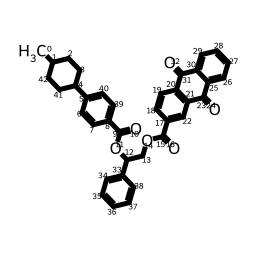 CC1CCC(c2ccc(C(=O)OC(COC(=O)c3ccc4c(c3)C(=O)c3ccccc3C4=O)c3ccccc3)cc2)CC1